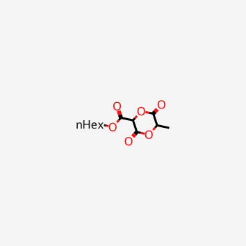 CCCCCCOC(=O)C1OC(=O)C(C)OC1=O